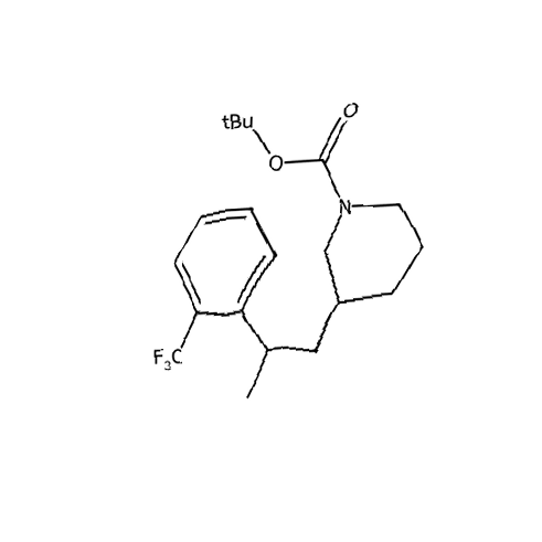 CC(CC1CCCN(C(=O)OC(C)(C)C)C1)c1ccccc1C(F)(F)F